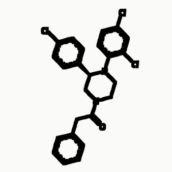 O=C(Cc1ccccc1)N1CCN(c2ccc(Cl)cc2Cl)[C@H](c2ccc(Cl)cc2)C1